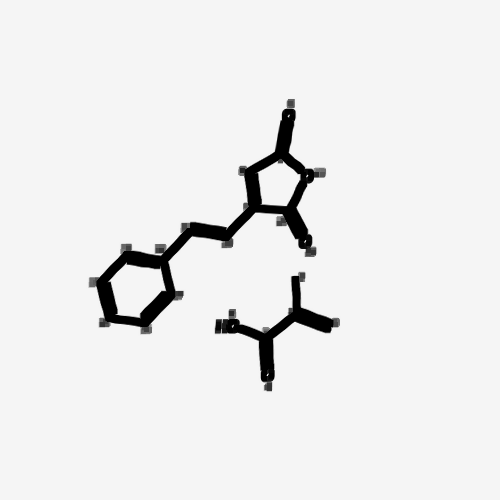 C=C(C)C(=O)O.O=C1C=C(C=Cc2ccccc2)C(=O)O1